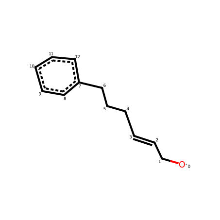 [O]C/C=C/CCCc1ccccc1